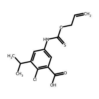 C=CCOC(=S)Nc1cc(C(=O)O)c(Cl)c(C(C)C)c1